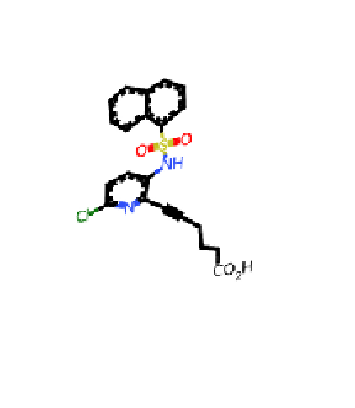 O=C(O)CCCC#Cc1nc(Cl)ccc1NS(=O)(=O)c1cccc2ccccc12